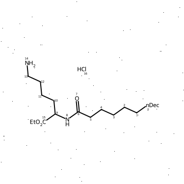 CCCCCCCCCCCCCCCC(=O)NC(CCCCN)C(=O)OCC.Cl